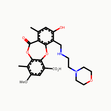 COc1cc(C(=O)O)c2c(c1C)OC(=O)c1c(C)cc(O)c(CNCCN3CCOCC3)c1O2